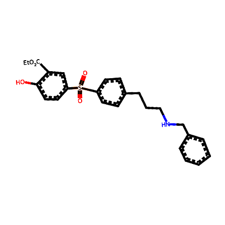 CCOC(=O)c1cc(S(=O)(=O)c2ccc(CCCNCc3ccccc3)cc2)ccc1O